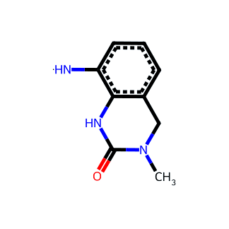 CN1Cc2cccc([NH])c2NC1=O